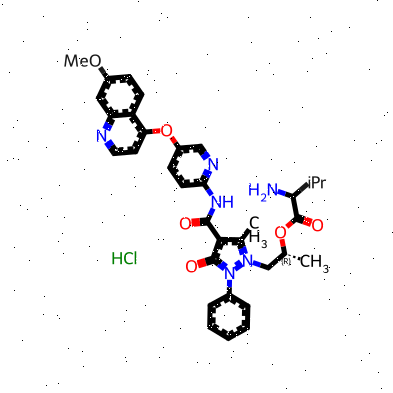 COc1ccc2c(Oc3ccc(NC(=O)c4c(C)n(C[C@@H](C)OC(=O)C(N)C(C)C)n(-c5ccccc5)c4=O)nc3)ccnc2c1.Cl